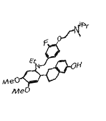 CCN(Cc1ccc(OCCN(C)C(C)C)c(F)c1)C1C=C(OC)C(OC)=CC1[C@@H]1CCc2cc(O)ccc2C1